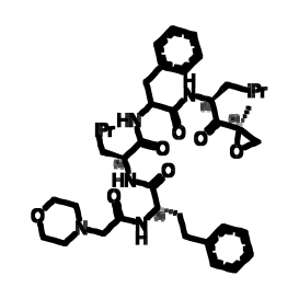 CC(C)C[C@H](NC(=O)[C@H](CCc1ccccc1)NC(=O)CN1CCOCC1)C(=O)NC(Cc1ccccc1)C(=O)N[C@@H](CC(C)C)C(=O)[C@@]1(C)CO1